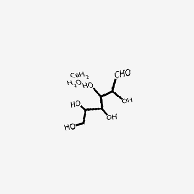 O.O=CC(O)C(O)C(O)C(O)CO.[CaH2]